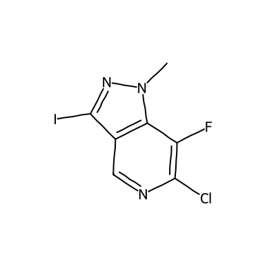 Cn1nc(I)c2cnc(Cl)c(F)c21